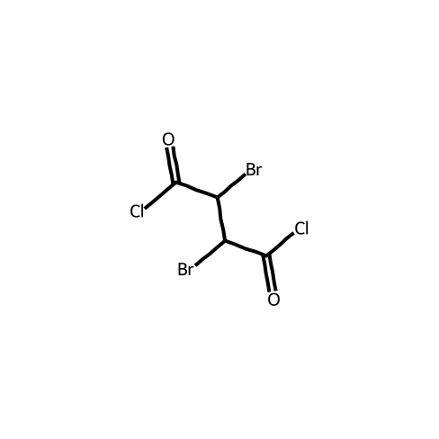 O=C(Cl)C(Br)C(Br)C(=O)Cl